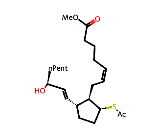 CCCCC[C@H](O)/C=C/[C@H]1CC[C@H](SC(C)=O)[C@@H]1C/C=C\CCCC(=O)OC